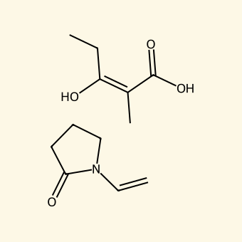 C=CN1CCCC1=O.CC/C(O)=C(/C)C(=O)O